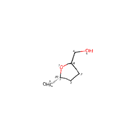 O=C[C@H]1CCC(CO)O1